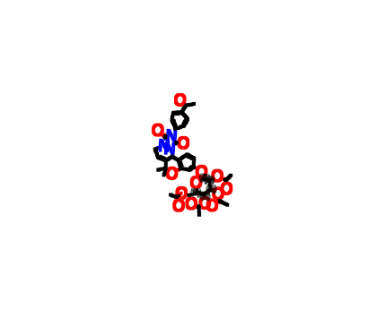 CC(=O)OC[C@H]1O[C@@H](Oc2ccc3c(c2)OC(C)(C)C2=CCn4c(=O)n(-c5ccc(C(C)=O)cc5)c(=O)n4C23)[C@H](OC(C)=O)[C@@H](OC(C)=O)[C@H]1OC(C)=O